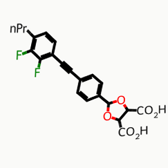 CCCc1ccc(C#Cc2ccc(C3OC(C(=O)O)C(C(=O)O)O3)cc2)c(F)c1F